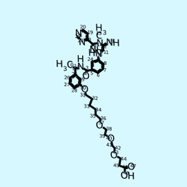 C[C@@H](NC(=O)c1cccc(NCC(=N)N(C)C(=N)c2ccncn2)c1)c1cccc(OCCCCCCOCCOCCOCCC(=O)O)c1